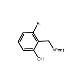 CCCCCCc1c(O)cccc1CC